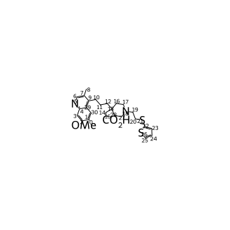 COc1ccc2ncc(C)c(CCCC3(CC(=O)O)CCN(CCSc4cccs4)CC3)c2c1